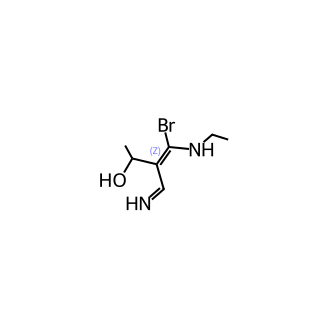 CCN/C(Br)=C(\C=N)C(C)O